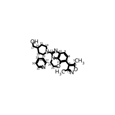 Cc1noc(C)c1-c1ccc2nc(N3CCC(CO)CC3)n3c2c1OC[C@@H]3c1ccccn1